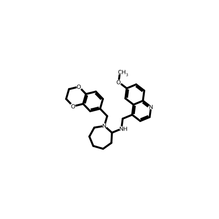 COc1ccc2nccc(CNC3CCCCCN3Cc3ccc4c(c3)OCCO4)c2c1